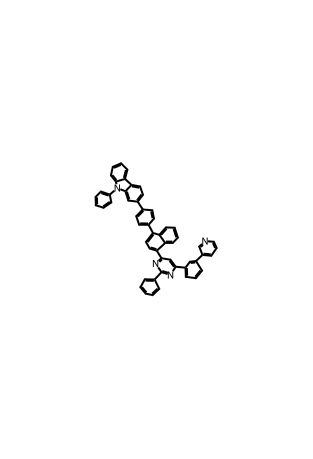 c1ccc(-c2nc(-c3cccc(-c4cccnc4)c3)cc(-c3ccc(-c4ccc(-c5ccc6c7ccccc7n(-c7ccccc7)c6c5)cc4)c4ccccc34)n2)cc1